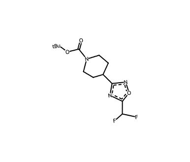 CC(C)(C)OC(=O)N1CCC(c2noc(C(F)F)n2)CC1